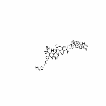 C=CCCCCOc1nc2ncnc(N[C@H](C)c3cccc(C(F)(F)C4CCN(C(=O)OC(C)(C)C)CC4)c3)c2cc1C1(C#N)CC1